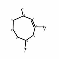 CC1C=C(Br)CC(Br)CCC1